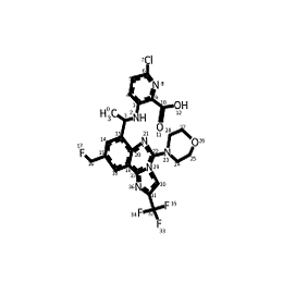 CC(Nc1ccc(Cl)nc1C(=O)O)c1cc(CF)cc2c1nc(N1CCOCC1)n1cc(C(F)(F)F)nc21